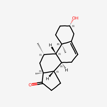 C[C@H]1C[C@]2(C)C(=O)CC[C@H]2[C@@H]2CC=C3C[C@@H](O)CC[C@]3(C)[C@H]21